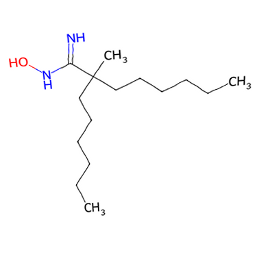 CCCCCCC(C)(CCCCCC)C(=N)NO